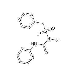 O=C(Nc1ncccn1)N(S)S(=O)(=O)Cc1ccccc1